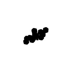 c1ccc(-c2nc(-c3cccc4c3ccc3ccc5ccccc5c34)nc(-c3cccc4oc5c(-c6ccccc6)cccc5c34)n2)cc1